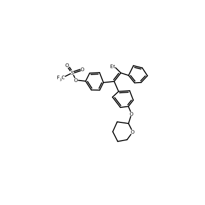 CCC(=C(c1ccc(OC2CCCCO2)cc1)c1ccc(OS(=O)(=O)C(F)(F)F)cc1)c1ccccc1